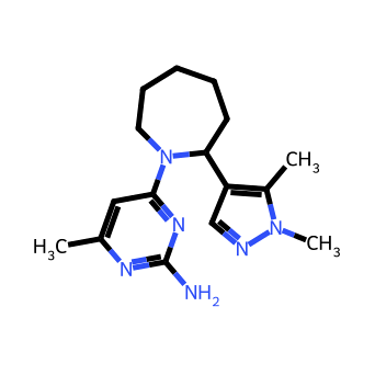 Cc1cc(N2CCCCCC2c2cnn(C)c2C)nc(N)n1